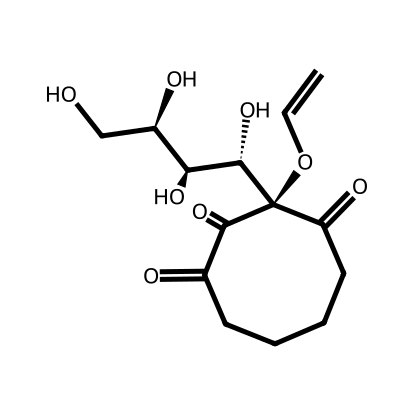 C=CO[C@@]1([C@@H](O)[C@@H](O)[C@H](O)CO)C(=O)CCCCC(=O)C1=O